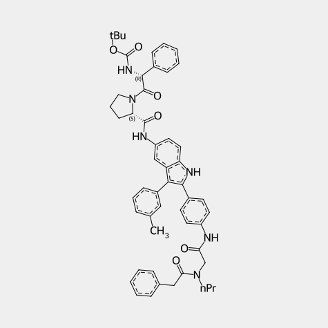 CCCN(CC(=O)Nc1ccc(-c2[nH]c3ccc(NC(=O)[C@@H]4CCCN4C(=O)[C@H](NC(=O)OC(C)(C)C)c4ccccc4)cc3c2-c2cccc(C)c2)cc1)C(=O)Cc1ccccc1